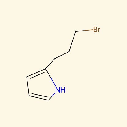 BrCCCc1ccc[nH]1